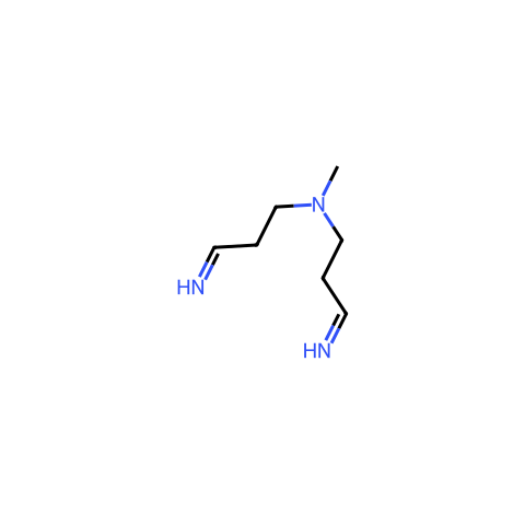 CN(CCC=N)CCC=N